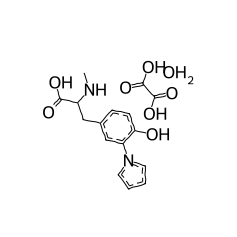 CNC(Cc1ccc(O)c(-n2cccc2)c1)C(=O)O.O.O=C(O)C(=O)O